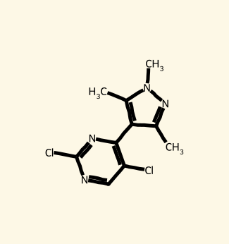 Cc1nn(C)c(C)c1-c1nc(Cl)ncc1Cl